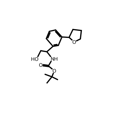 CC(C)(C)OC(=O)NC(CO)c1cccc(C2CCCO2)c1